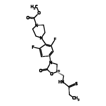 CCC(=S)NC[C@H]1CN(c2cc(F)c(N3CCN(C(=O)OC)CC3)c(F)c2)C(=O)O1